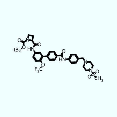 CC(C)(C)OC(=O)N1CCC1C(=O)Nc1ccc(OC(F)(F)F)c(-c2ccc(C(=O)Nc3ccc(CN4CCN(S(C)(=O)=O)CC4)cc3)cc2)c1